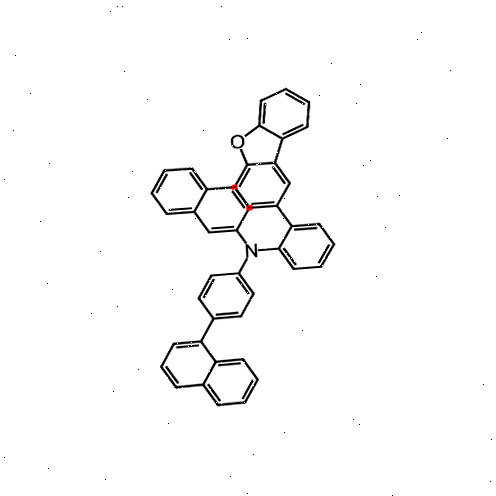 c1ccc(N(c2ccc(-c3cccc4ccccc34)cc2)c2ccc3ccccc3c2)c(-c2ccc3oc4ccccc4c3c2)c1